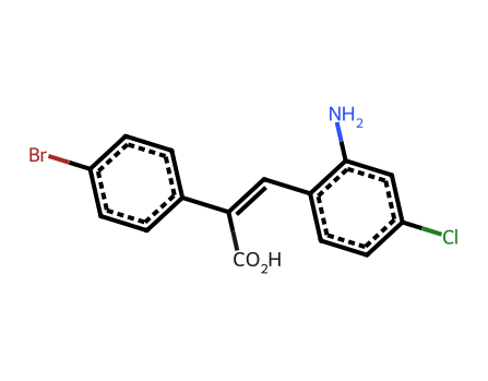 Nc1cc(Cl)ccc1/C=C(\C(=O)O)c1ccc(Br)cc1